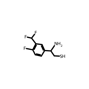 NC(CS)c1ccc(F)c(C(F)F)c1